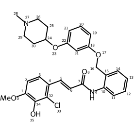 COc1ccc(C=CC(=O)Nc2ccccc2COc2cccc(OC3CCN(C)CC3)c2)c(Cl)c1O